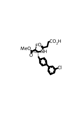 COC(=O)[C@@H](F)[C@@H](Cc1ccc(-c2cccc(Cl)c2)cc1)NC(=O)CCC(=O)O